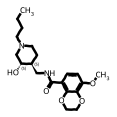 CCCCN1CC[C@@H](CNC(=O)c2ccc(OC)c3c2OCCO3)[C@H](O)C1